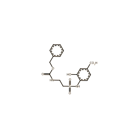 O=C(NCCS(=O)(=O)Nc1ccc(C(=O)O)cc1O)OCc1ccccc1